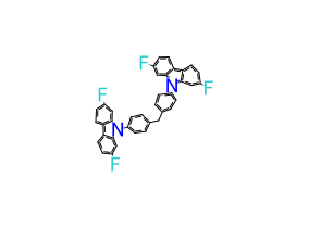 Fc1ccc2c3ccc(F)cc3n(-c3ccc(Cc4ccc(-n5c6cc(F)ccc6c6ccc(F)cc65)cc4)cc3)c2c1